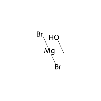 CO.[Br][Mg][Br]